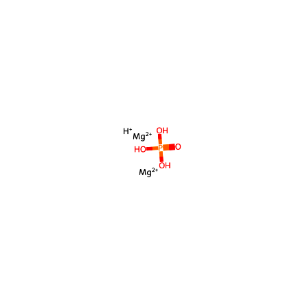 O=P(O)(O)O.[H+].[Mg+2].[Mg+2]